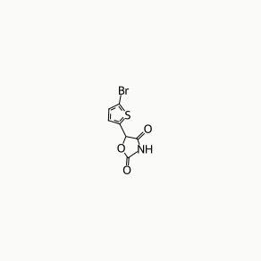 O=C1NC(=O)C(c2ccc(Br)s2)O1